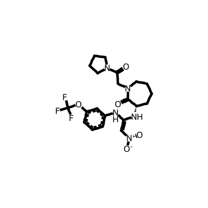 O=C(CN1CCCC[C@H](NC(=C[N+](=O)[O-])Nc2cccc(OC(F)(F)F)c2)C1=O)N1CCCC1